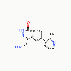 N#Cc1ncccc1-c1ccc2c(=O)[nH]nc(CN)c2c1